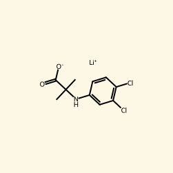 CC(C)(Nc1ccc(Cl)c(Cl)c1)C(=O)[O-].[Li+]